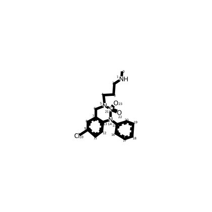 CNCCCN1Cc2cc(Cl)ccc2N(c2ccccc2)S1(=O)=O